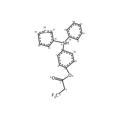 O=C(CC(F)(F)F)Oc1ccc([SiH](c2ccccc2)c2ccccc2)cc1